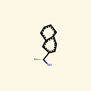 C[C@@H]([NH])c1ccc2ccccc2c1